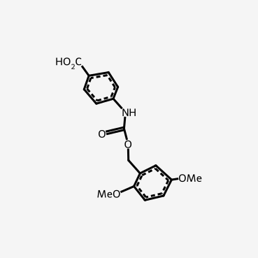 COc1ccc(OC)c(COC(=O)Nc2ccc(C(=O)O)cc2)c1